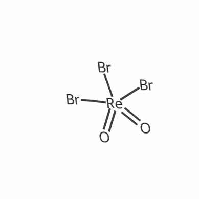 [O]=[Re](=[O])([Br])([Br])[Br]